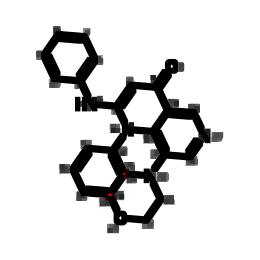 O=c1cc(Nc2ccccc2)n(-c2ccccc2)c2c(N3CCOCC3)cncc12